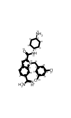 N=C(N)c1ccc2cc(C(=O)N[C@H]3CC[C@H](N)CC3)n(Cc3cc(Cl)cc(Cl)c3)c2c1